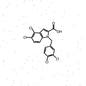 O=C(O)c1cc2c(Cl)c(Cl)ccc2n1Cc1ccc(Cl)c(Cl)c1